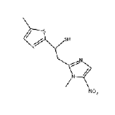 Cc1cnc(C(S)Cc2ncc([N+](=O)[O-])n2C)s1